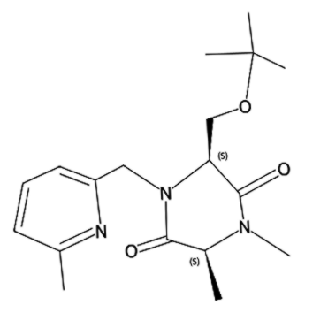 Cc1cccc(CN2C(=O)[C@H](C)N(C)C(=O)[C@@H]2COC(C)(C)C)n1